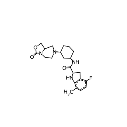 Cc1ccc(F)c2c1NC(C(=O)N[C@@H]1CCC[C@H](N3CCN4C(=O)OCC4C3)C1)C2